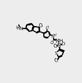 CNc1ccc2c(c1)C=C(c1ccc(NC(=O)NS(=O)(=O)c3ccc(Cl)s3)cc1Cl)C2=O